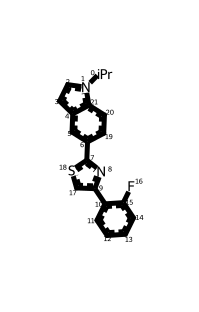 CC(C)n1ccc2cc(-c3nc(-c4ccccc4F)cs3)ccc21